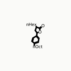 CCCCCCCCc1ccc(C2CC(CCCCCC)C(=O)O2)cc1